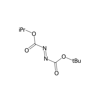 CC(C)OC(=O)N=NC(=O)OC(C)(C)C